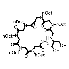 CCCCCCCCCCN(CC(N)=O)C(=O)CN(CCCCCCCC)C(=O)CN(CCCCCCCC)C(=O)CN(CCCCCCCCCC)C1OC1CN(CCCCCCCC)C(=O)CN(CCCCCCCC)C(=O)CNC(CO)CO